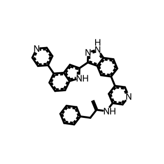 C=C(Cc1ccccc1)Nc1cncc(-c2ccc3[nH]nc(-c4cc5c(-c6ccncc6)cccc5[nH]4)c3c2)c1